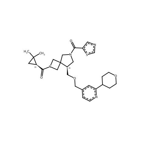 CC1(C)C[C@@H]1C(=O)N1CC2(CN(C(=O)c3cncs3)C[C@H]2COCc2ccnc(C3CCOCC3)c2)C1